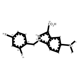 CN(C)c1ccc2c(c1)c(C(=O)O)nn2Cc1ccc(F)cc1F